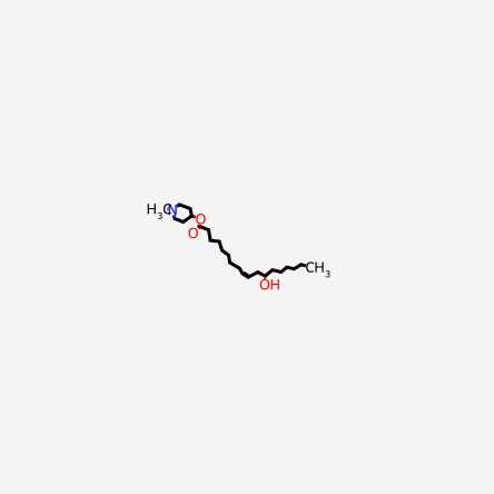 CCCCCC[C@@H](O)C/C=C\CCCCCCCC(=O)OC1CCN(C)CC1